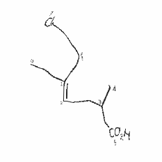 CC(=CC(C)C(=O)O)CCl